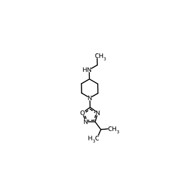 CCNC1CCN(c2nc(C(C)C)no2)CC1